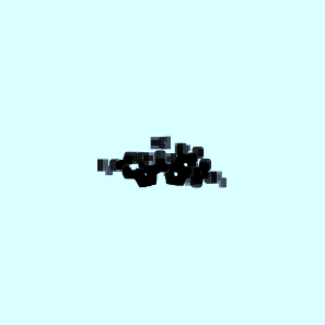 CC(C)[C@@H]1C(=O)N(S(C)(=O)=O)[C@@H]2CCN(C(=O)c3ccc(CN(C)C)n3C)[C@H]21.Cl